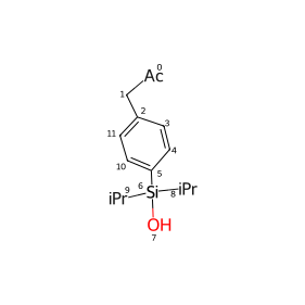 CC(=O)Cc1ccc([Si](O)(C(C)C)C(C)C)cc1